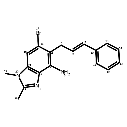 Cc1nc2c(N)c(CC=Cc3ccccc3)c(Br)cc2n1C